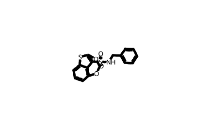 O=S(=O)(NCc1ccccc1)c1c2sc3cccc(c13)OCO2